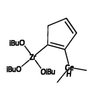 CC(C)C[O][Zr]([O]CC(C)C)([O]CC(C)C)[C]1=[C]([GeH]([CH3])[CH3])C=CC1